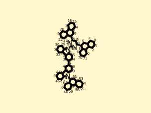 c1ccc2c(c1)cc(-c1cc(-c3cc4ccccc4c4ccccc34)nc(-n3c4ccccc4c4cc(-c5ccc6c(c5)c5ccccc5n6-c5cc6ccccc6c6ccccc56)ccc43)n1)c1ccccc12